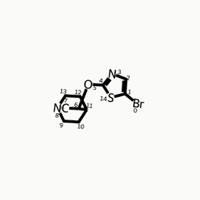 Brc1cnc(OC2CN3CCC2CC3)s1